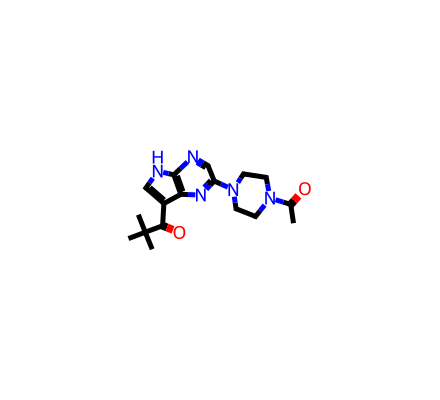 CC(=O)N1CCN(c2cnc3[nH]cc(C(=O)C(C)(C)C)c3n2)CC1